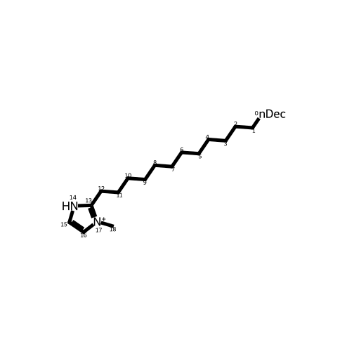 CCCCCCCCCCCCCCCCCCCCCCc1[nH]cc[n+]1C